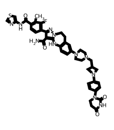 Cc1c(C(=O)Nc2cscn2)ccc(-c2nn3c(c2C(N)=O)Nc2ccc(N4CCN(CC5CN(c6ccc(N7CCC(=O)NC7=O)cc6)C5)CC4)cc2CC3)c1F